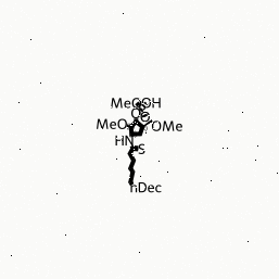 CCCCCCCCCCCCCCCC(=S)N[C@H]1C[C@H](COC)C(OP(=O)(O)OC)[C@@H]1OC